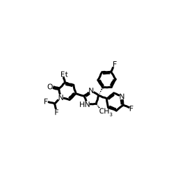 CCc1cc(C2=N[C@@](c3ccc(F)cc3)(c3ccc(F)nc3)[C@H](C)N2)cn(C(F)F)c1=O